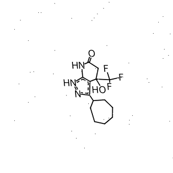 O=C1CC(O)(C(F)(F)F)c2c(C3CCCCCC3)n[nH]c2N1